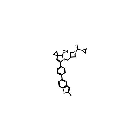 Cc1cc2cc(-c3ccc(C4=NC5(CC5)C(O)N4CC4CN(C(=O)C5CC5)C4)cc3)ccc2o1